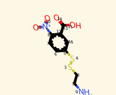 NCCSSc1ccc([N+](=O)[O-])c(C(=O)O)c1